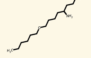 [CH2]CCC(N)CCCCOCCCCCC